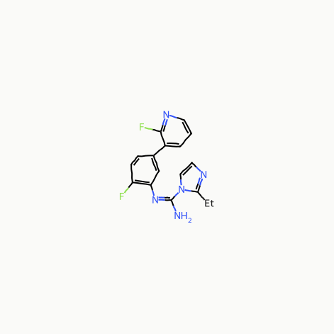 CCc1nccn1/C(N)=N\c1cc(-c2cccnc2F)ccc1F